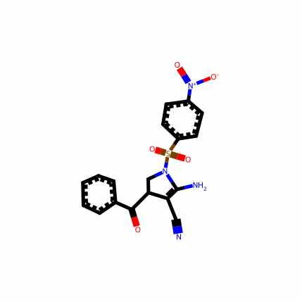 N#CC1=C(N)N(S(=O)(=O)c2ccc([N+](=O)[O-])cc2)CC1C(=O)c1ccccc1